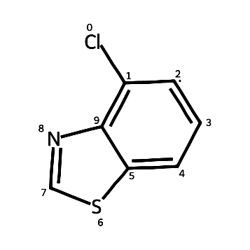 Clc1[c]ccc2scnc12